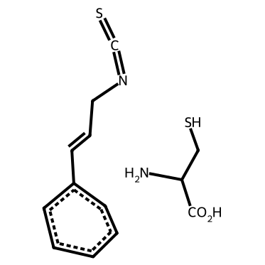 NC(CS)C(=O)O.S=C=NCC=Cc1ccccc1